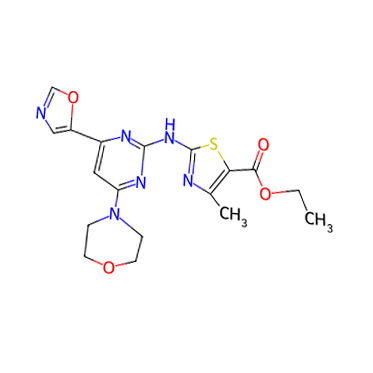 CCOC(=O)c1sc(Nc2nc(-c3cnco3)cc(N3CCOCC3)n2)nc1C